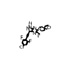 FCc1nc2c(C#Cc3c(F)cc(Cl)cc3F)n[nH]c2nc1N1CCC2(CCOC2)CC1